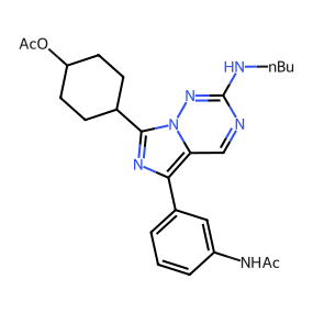 CCCCNc1ncc2c(-c3cccc(NC(C)=O)c3)nc(C3CCC(OC(C)=O)CC3)n2n1